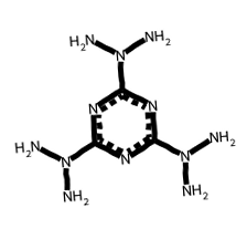 NN(N)c1nc(N(N)N)nc(N(N)N)n1